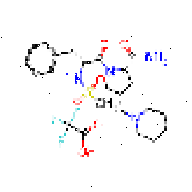 CS(=O)(=O)N[C@H](Cc1ccccc1)C(=O)N1CC(CN2CCCCC2)C[C@H]1C(N)=O.O=C(O)C(F)(F)F